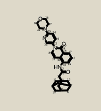 O=C(CC12CC3CC(CC(C3)C1)C2)Nc1cccc2c(=O)n(-c3ccc(N4CCOCC4)nc3)ccc12